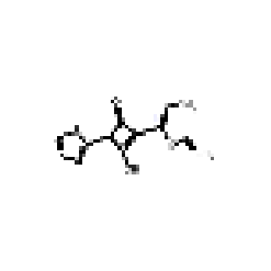 C=CS/C(=C\C)C1=C(O)C(c2cncs2)C1=O